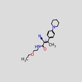 CCOCCNC(=O)/C(C#N)=C(\C)c1ccc(N2CCCCC2)cc1